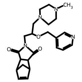 CN1CCN(CC(CN2C(=O)C3C4C=CC(C4)C3C2=O)OCc2cccnc2)CC1